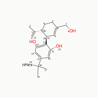 C=C(C)[C@@H]1CCC(CO)=C[C@H]1c1c(O)cc(C(C)(C)CCCCCC)cc1O